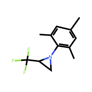 Cc1cc(C)c(N2CC2C(F)(F)F)c(C)c1